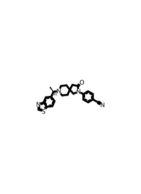 C[C@H](c1ccc2scnc2c1)N1CCC2(CC1)CC(=O)N(c1ccc(C#N)cc1)C2